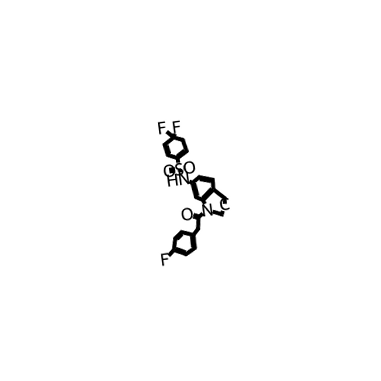 O=C(Cc1ccc(F)cc1)N1CCCc2ccc(NS(=O)(=O)C3=CCC(F)(F)C=C3)cc21